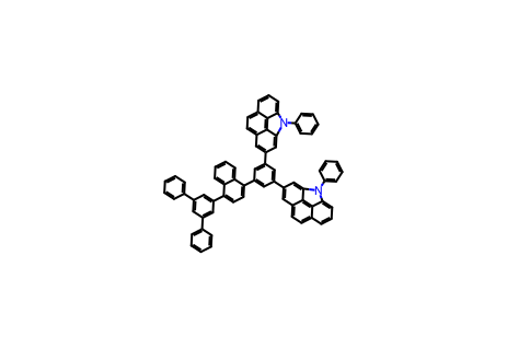 c1ccc(-c2cc(-c3ccccc3)cc(-c3ccc(-c4cc(-c5cc6ccc7cccc8c7c6c(c5)n8-c5ccccc5)cc(-c5cc6ccc7cccc8c7c6c(c5)n8-c5ccccc5)c4)c4ccccc34)c2)cc1